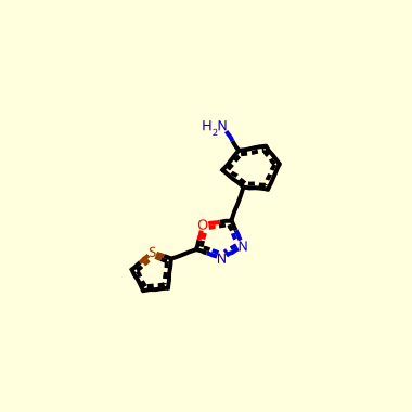 Nc1cccc(-c2nnc(-c3cccs3)o2)c1